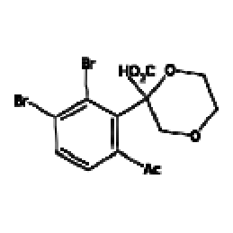 CC(=O)c1ccc(Br)c(Br)c1C1(C(=O)O)COCCO1